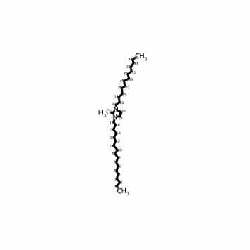 CCCCCCCCCCCCCCCCCCN1C=CN(CCCCCCCCCCCCCC)C1C